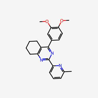 COc1ccc(-c2nc(-c3cccc(C)n3)nc3c2CCCC3)cc1OC